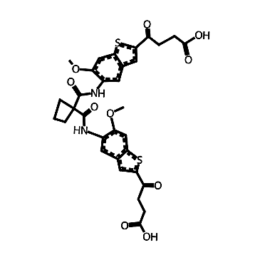 COc1cc2sc(C(=O)CCC(=O)O)cc2cc1NC(=O)C1(C(=O)Nc2cc3cc(C(=O)CCC(=O)O)sc3cc2OC)CCC1